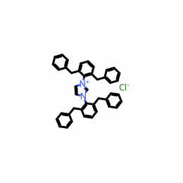 [Cl-].c1ccc(Cc2cccc(Cc3ccccc3)c2-n2cc[n+](-c3c(Cc4ccccc4)cccc3Cc3ccccc3)c2)cc1